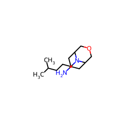 CC(C)CCCN1C2COCC1CC(N)C2